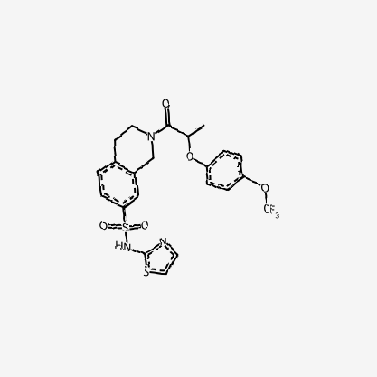 CC(Oc1ccc(OC(F)(F)F)cc1)C(=O)N1CCc2ccc(S(=O)(=O)Nc3nccs3)cc2C1